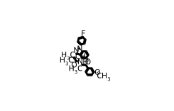 COc1cccc(C(Oc2ccc3c(cnn3-c3ccc(F)cc3)c2)C(C)NC(=O)C(C)(C)C)c1